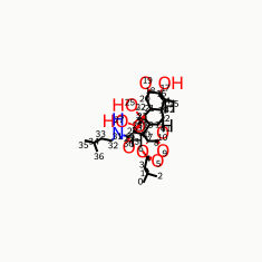 CC(C)=CC(=O)O[C@H]1C(=O)O[C@@H]2C[C@H]3C(C)=C(O)C(=O)C[C@]3(C)C3[C@@H](O)[C@H](O)[C@@]4(C(=O)NCCC(C)C)OC[C@]32[C@@H]14